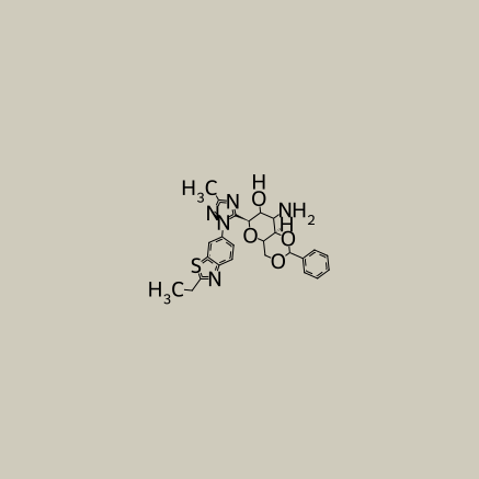 CCc1nc2ccc(-n3nc(C)nc3[C@@H]3OC4COC(c5ccccc5)O[C@@H]4C(N)C3O)cc2s1